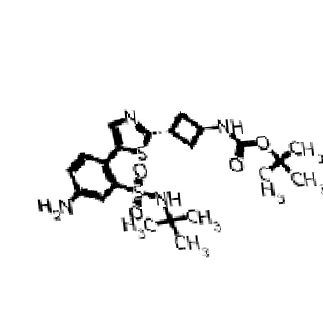 CC(C)(C)NS(=O)(=O)c1cc(N)ccc1-c1cnc([C@H]2C[C@H](NC(=O)OC(C)(C)C)C2)s1